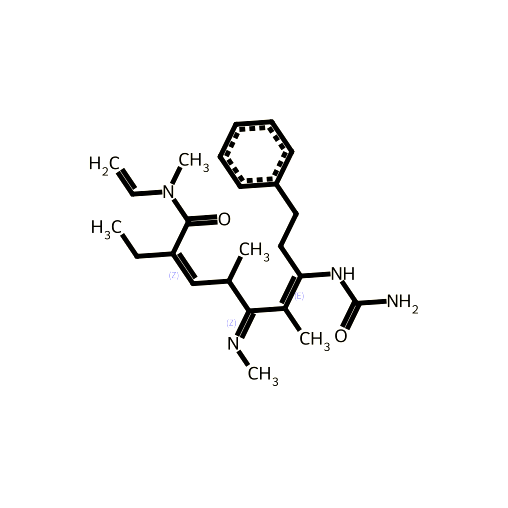 C=CN(C)C(=O)/C(=C\C(C)C(=N/C)/C(C)=C(\CCc1ccccc1)NC(N)=O)CC